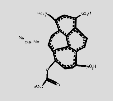 CCCCCCCCC(=O)Oc1cc(S(=O)(=O)O)c2ccc3c(S(=O)(=O)O)cc(S(=O)(=O)O)c4ccc1c2c43.[Na].[Na].[Na]